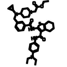 CCOC(=O)CN1CCC(N(Cc2cccc(C(=O)Nc3sc4c(c3C(=O)Nc3ccc(N(CC)CC)cc3)CCCC4)c2)C2CC2)CC1